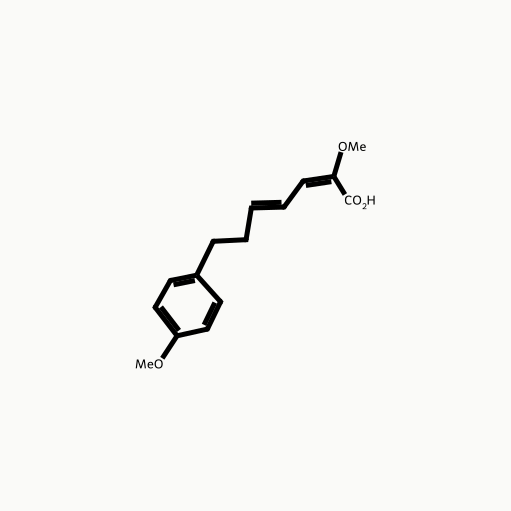 COC(=CC=CCCc1ccc(OC)cc1)C(=O)O